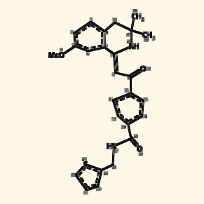 COc1ccc2c(c1)/C(=C/C(=O)c1ccc(C(=O)NCc3cccs3)cc1)NC(C)(C)C2